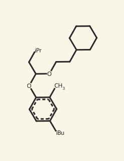 CCC(C)c1ccc(OC(CC(C)C)OCCC2CCCCC2)c(C)c1